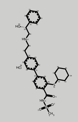 CS(=O)(=O)NC(=O)c1ccc(-c2ccc(CCNC[C@H](O)c3ccccc3)cc2)cc1SC1CCCCC1.Cl